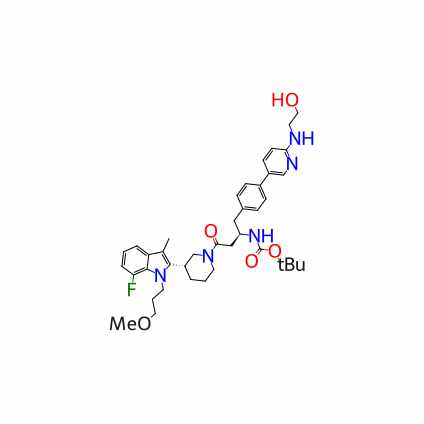 COCCCn1c([C@H]2CCCN(C(=O)C[C@@H](Cc3ccc(-c4ccc(NCCO)nc4)cc3)NC(=O)OC(C)(C)C)C2)c(C)c2cccc(F)c21